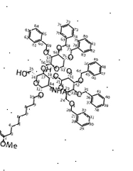 COC(=O)CCCCCCCCO[C@@H]1O[C@H](CO)[C@@H](O)[C@H](O[C@@H]2O[C@H](COCc3ccccc3)[C@H](OCc3ccccc3)[C@H](OCc3ccccc3)[C@H]2O[C@@H]2O[C@@H](C)[C@@H](OCc3ccccc3)[C@@H](OCc3ccccc3)[C@@H]2OCc2ccccc2)[C@H]1NC(C)=O